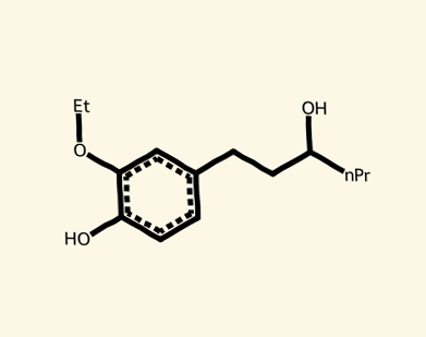 CCCC(O)CCc1ccc(O)c(OCC)c1